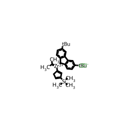 C[C](C)=[Zr+2]([C]1=CC([Si](C)(C)C)=CC1)[CH]1c2ccc(C(C)(C)C)cc2-c2cc(C(C)(C)C)ccc21.[Cl-].[Cl-]